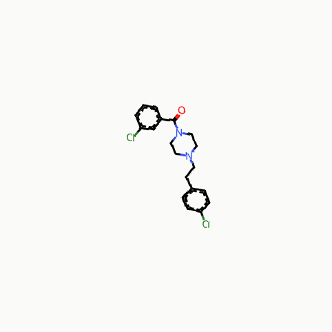 O=C(c1cccc(Cl)c1)N1CCN(CCc2ccc(Cl)cc2)CC1